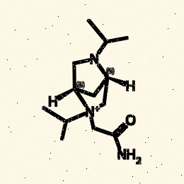 CC(C)N1C[C@@H]2C[C@H]1C[N+]2(CC(N)=O)C(C)C